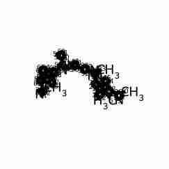 Cc1cnc(C)c(-c2ccc3c(c2)-c2ccccc2C32c3ccccc3-c3ccc(-c4nc(C)nc(-c5ccc(-c6cccc(Cc7nc(-c8ccccc8)cc(-c8ccc9c(c8)-c8ccccc8C98c9ccccc9-c9c(-c%10cnccc%10C)cccc98)n7)c6)cc5)n4)cc32)c1